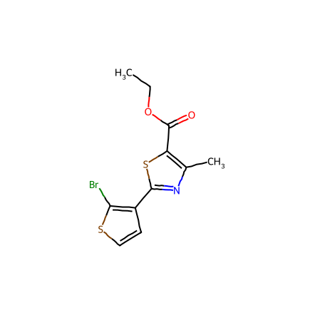 CCOC(=O)c1sc(-c2ccsc2Br)nc1C